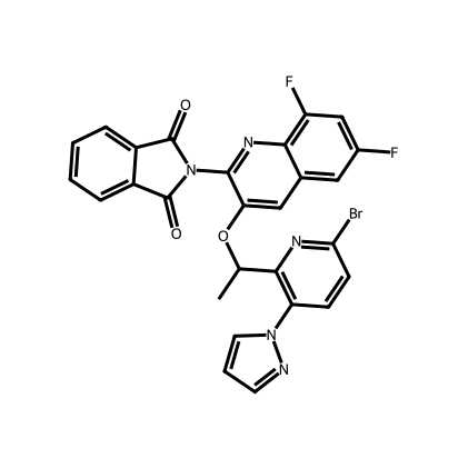 CC(Oc1cc2cc(F)cc(F)c2nc1N1C(=O)c2ccccc2C1=O)c1nc(Br)ccc1-n1cccn1